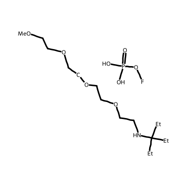 CCC(CC)(CC)NCCOCCOCCOCCOC.O=P(O)(O)OF